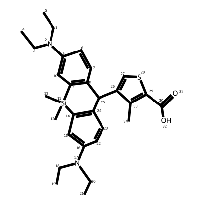 CCN(CC)c1ccc2c(c1)[Si](C)(C)c1cc(N(CC)CC)ccc1C2c1csc(C(=O)O)c1C